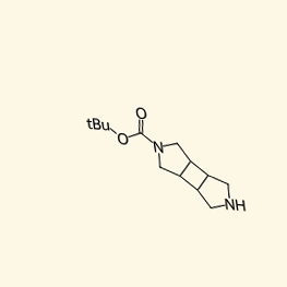 CC(C)(C)OC(=O)N1CC2C3CNCC3C2C1